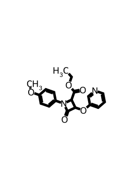 CCOC(=O)C1C(Oc2cccnc2)C(=O)N1c1ccc(OC)cc1